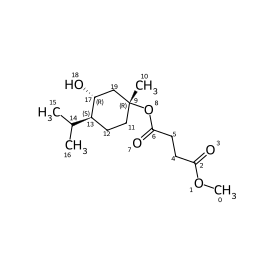 COC(=O)CCC(=O)O[C@]1(C)CC[C@@H](C(C)C)[C@H](O)C1